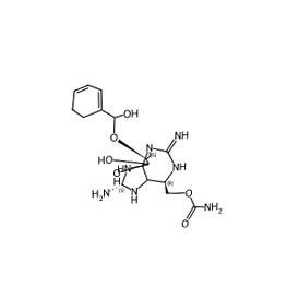 N=C1N[C@@H](COC(N)=O)C2N[C@H](N)NC23N1C[C@H](OC(O)C1=CC=CCC1)C3(O)O